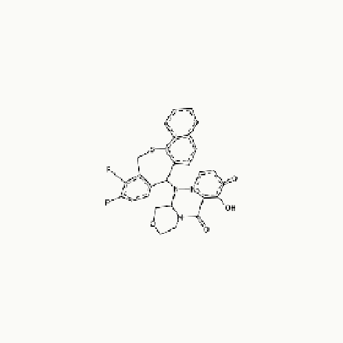 O=C1c2c(O)c(=O)ccn2N(C2c3ccc(F)c(F)c3CSc3c2ccc2ccccc32)C2COCCN12